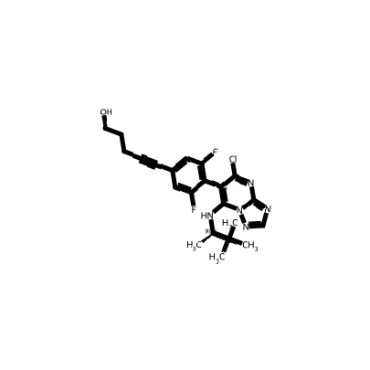 C[C@@H](Nc1c(-c2c(F)cc(C#CCCCO)cc2F)c(Cl)nc2ncnn12)C(C)(C)C